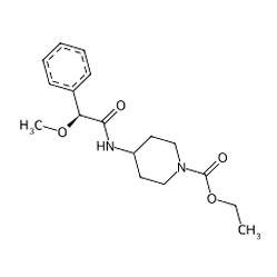 CCOC(=O)N1CCC(NC(=O)[C@@H](OC)c2ccccc2)CC1